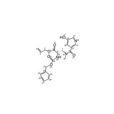 C=CCOC(=O)[C@H](CN(C)C(=O)c1cncc(O)c1)NC(=O)OCc1ccccc1